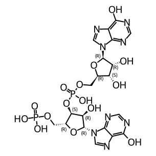 O=P(O)(O)OC[C@H]1O[C@@H](n2cnc3c(O)ncnc32)[C@H](O)[C@@H]1OP(=O)(O)OC[C@H]1O[C@@H](n2cnc3c(O)ncnc32)[C@H](O)[C@@H]1O